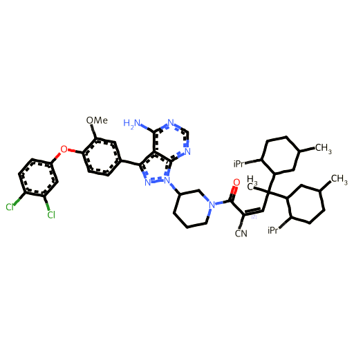 COc1cc(-c2nn(C3CCCN(C(=O)/C(C#N)=C\C(C)(C4CC(C)CCC4C(C)C)C4CC(C)CCC4C(C)C)C3)c3ncnc(N)c23)ccc1Oc1ccc(Cl)c(Cl)c1